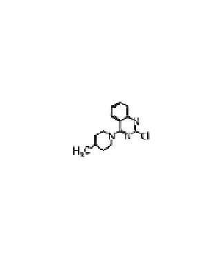 CC1CCN(c2nc(Cl)nc3ccccc23)CC1